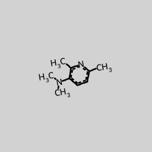 Cc1ccc(N(C)C)c(C)n1